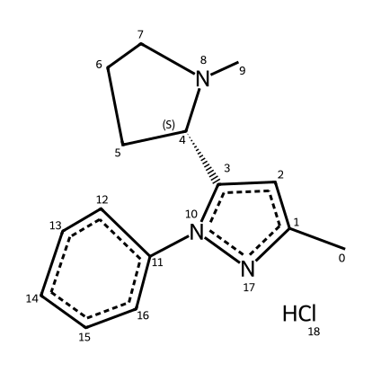 Cc1cc([C@@H]2CCCN2C)n(-c2ccccc2)n1.Cl